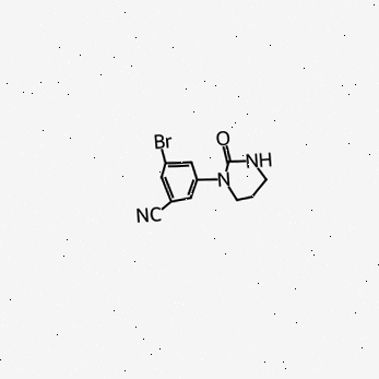 N#Cc1cc(Br)cc(N2CCCNC2=O)c1